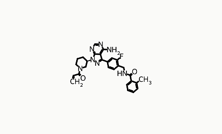 C=CC(=O)N1CCC[C@@H](n2nc(-c3ccc(CNC(=O)c4ccccc4C)c(F)c3)c3c(N)ncnc32)C1